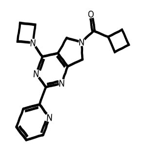 O=C(C1CCC1)N1Cc2nc(-c3ccccn3)nc(N3CCC3)c2C1